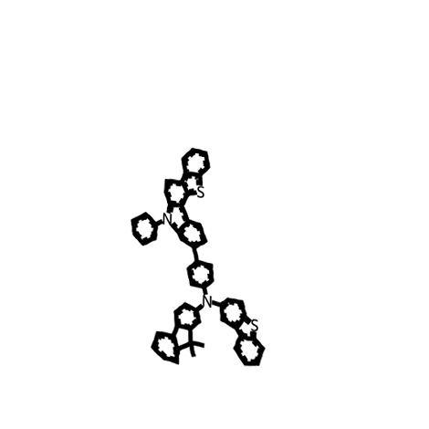 CC1(C)c2ccccc2-c2ccc(N(c3ccc(-c4ccc5c6c7sc8ccccc8c7ccc6n(-c6ccccc6)c5c4)cc3)c3ccc4sc5ccccc5c4c3)cc21